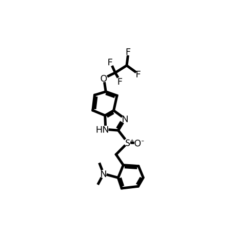 CN(C)c1ccccc1C[S+]([O-])c1nc2cc(OC(F)(F)C(F)F)ccc2[nH]1